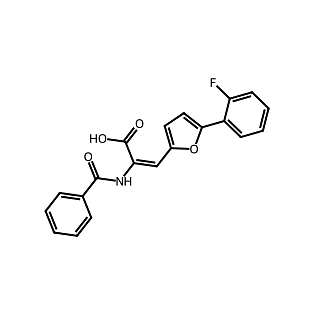 O=C(O)/C(=C\c1ccc(-c2ccccc2F)o1)NC(=O)c1ccccc1